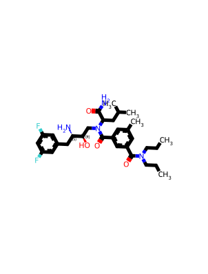 CCCN(CCC)C(=O)c1cc(C)cc(C(=O)N(C[C@@H](O)[C@@H](N)Cc2cc(F)cc(F)c2)C(CC(C)C)C(N)=O)c1